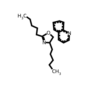 CCCCCC1=NC(CCCCC)CO1.c1ccc2ncccc2c1